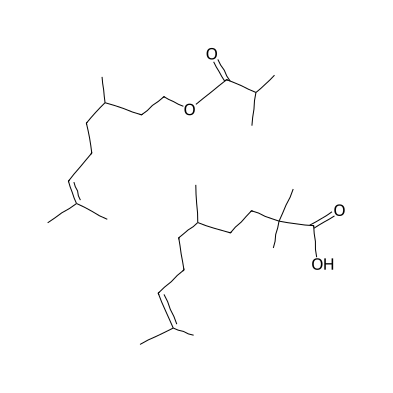 CC(C)=CCCC(C)CCC(C)(C)C(=O)O.CC(C)=CCCC(C)CCOC(=O)C(C)C